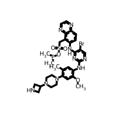 COc1cc(N2CCN(C3CNC3)CC2)c(C)cc1Nc1ncc(Br)c(Nc2ccc3nccnc3c2CS(=O)(=O)OP(C)C)n1